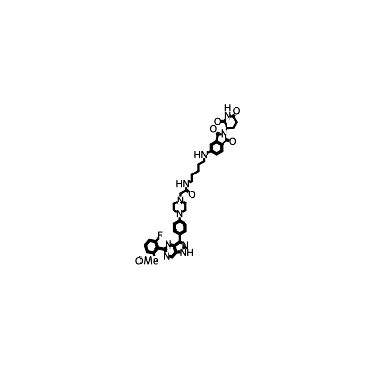 COc1cccc(F)c1-c1ncc2[nH]nc(-c3ccc(N4CCN(CC(=O)NCCCCCNc5ccc6c(c5)C(=O)N(C5CCC(=O)NC5=O)C6=O)CC4)cc3)c2n1